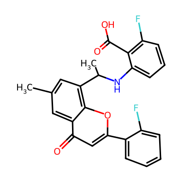 Cc1cc(C(C)Nc2cccc(F)c2C(=O)O)c2oc(-c3ccccc3F)cc(=O)c2c1